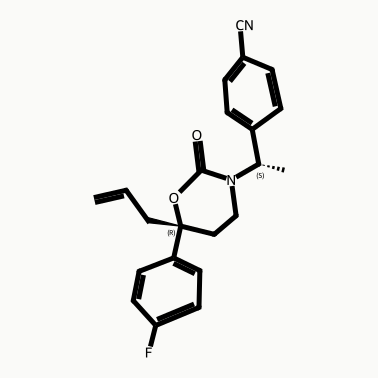 C=CC[C@]1(c2ccc(F)cc2)CCN([C@@H](C)c2ccc(C#N)cc2)C(=O)O1